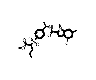 CCCC(C(=O)OC)S(=O)(=O)c1ccc(C(C)NC(=O)c2cc3c(Cl)cc(C)cc3n2C)cc1